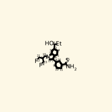 CCC(O)c1ccc2c(-c3cccc(C(N)=S)c3)cn(CC(CF)CF)c2c1